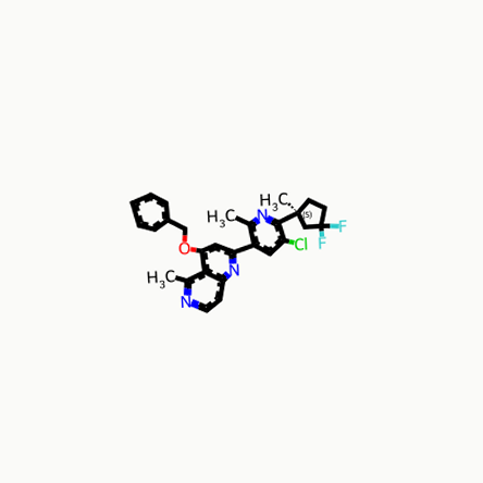 Cc1nc([C@@]2(C)CCC(F)(F)C2)c(Cl)cc1-c1cc(OCc2ccccc2)c2c(C)nccc2n1